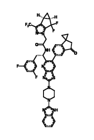 O=C(Cn1nc(C(F)(F)F)c2c1C(F)(F)[C@@H]1C[C@H]21)N[C@@H](Cc1cc(F)cc(F)c1)c1nc2nc(N3CCN(c4nc5ccccc5[nH]4)CC3)sc2cc1-c1ccc2c(c1)C(=O)CC21CC1